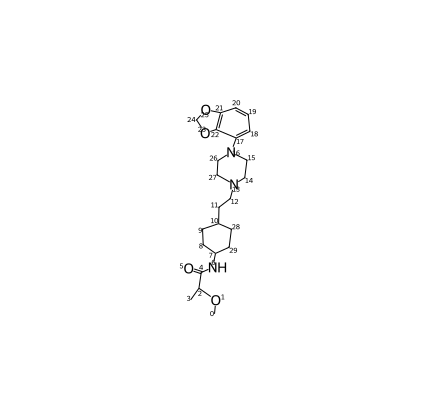 COC(C)C(=O)NC1CCC(CCN2CCN(c3cccc4c3OCO4)CC2)CC1